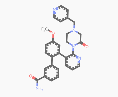 NC(=O)c1cccc(-c2ccc(OC(F)(F)F)cc2-c2cccnc2N2CCN(Cc3ccncc3)CC2=O)c1